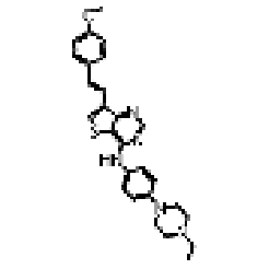 CCN1CCN(c2ccc(Nc3ncnc4c(/C=C/c5ccc(OC)cc5)csc34)cc2)CC1